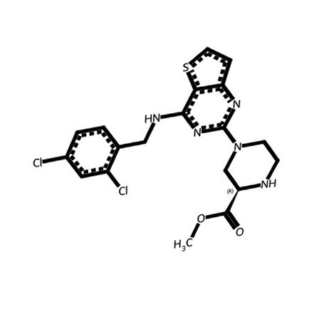 COC(=O)[C@H]1CN(c2nc(NCc3ccc(Cl)cc3Cl)c3sccc3n2)CCN1